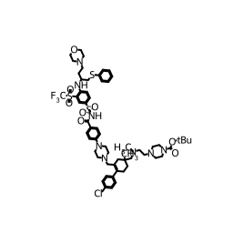 CN(CCN1CCN(C(=O)OC(C)(C)C)CC1)CC1(C)CCC(c2ccc(Cl)cc2)=C(CN2CCN(c3ccc(C(=O)NS(=O)(=O)c4ccc(NC(CCN5CCOCC5)CSc5ccccc5)c(S(=O)(=O)C(F)(F)F)c4)cc3)CC2)C1